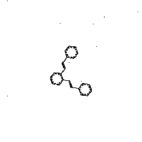 [c]1ccc(C=Cc2ccccc2)c(C=Cc2ccccc2)c1